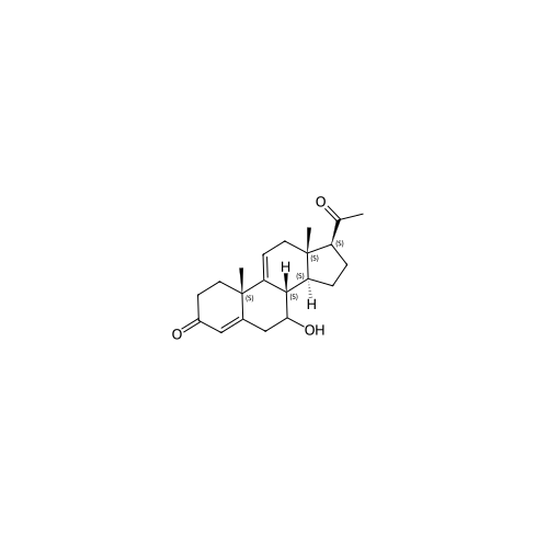 CC(=O)[C@H]1CC[C@H]2[C@H]3C(=CC[C@]12C)[C@@]1(C)CCC(=O)C=C1CC3O